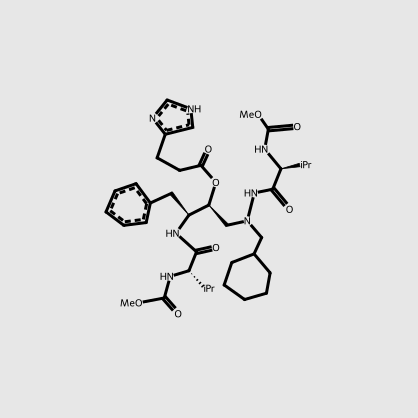 COC(=O)N[C@H](C(=O)N[C@@H](Cc1ccccc1)[C@H](CN(CC1CCCCC1)NC(=O)[C@@H](NC(=O)OC)C(C)C)OC(=O)CCc1c[nH]cn1)C(C)C